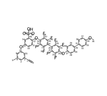 C#Cc1cc(C)cc(Oc2ccc(Oc3c(F)c(F)c(-c4c(F)c(F)c(Oc5ccc(-c6ccc(OC)cc6)cc5)c(F)c4F)c(F)c3F)c(S(=O)(=O)O)c2)c1